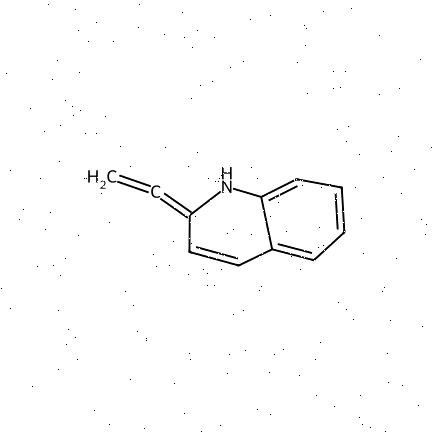 C=C=C1C=Cc2ccccc2N1